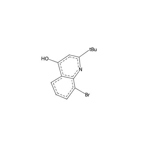 CC(C)(C)c1cc(O)c2cccc(Br)c2n1